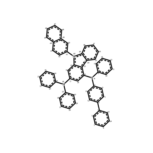 c1ccc(-c2ccc(N(c3ccccc3)c3cc(N(c4ccccc4)c4ccccc4)cc4c3c3ccccc3n4-c3ccc4ccccc4c3)cc2)cc1